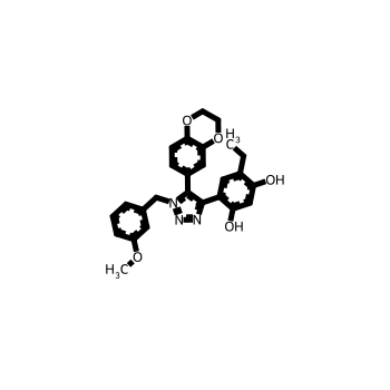 CCc1cc(-c2nnn(Cc3cccc(OC)c3)c2-c2ccc3c(c2)OCCO3)c(O)cc1O